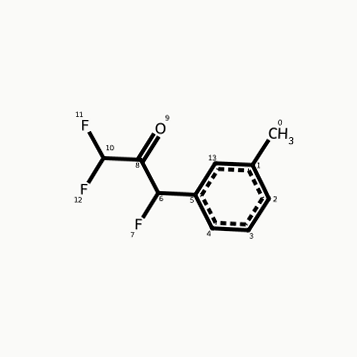 Cc1cccc(C(F)C(=O)C(F)F)c1